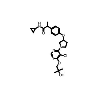 CC(C(=O)NC1CC1)c1ccc(OC2CCN(c3ncnc(OCC(C)(C)O)c3Cl)C2)cc1